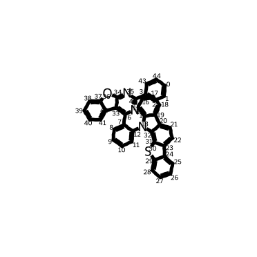 c1ccc(-c2nc(-c3ccccc3-n3c4ccccc4c4ccc5c6ccccc6sc5c43)c3c(n2)oc2ccccc23)cc1